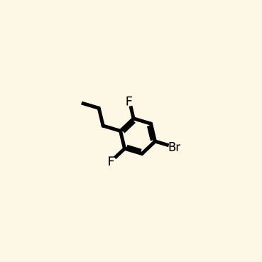 CCCc1c(F)cc(Br)cc1F